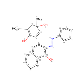 COC1(O)C=CC(O)=C(S(=O)(=O)O)C1.Oc1c(N=Nc2ccccc2)ccc2ccccc12